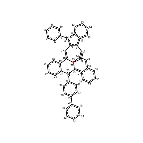 C1#Cc2c(n(-c3ccccc3)c3ccccc23)C=C(c2ccccc2N(C2=c3ccccc3=CCC2)c2ccc(-c3ccccc3)cc2)C1